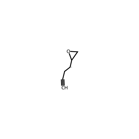 C#CC[CH]C1CO1